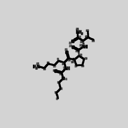 CCCCOC(=O)N[C@@H](CCCCN)C(=O)N1CCC[C@H]1C(=O)N[C@H](C(N)=O)C(C)C